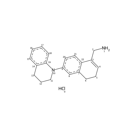 Cl.NCC1=CCCc2cc(N3CCCc4ccccc43)ccc21